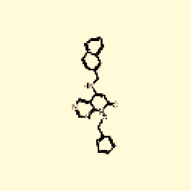 O=c1cc(NCc2ccc3ccccc3c2)c2cncnc2n1OCc1ccccc1